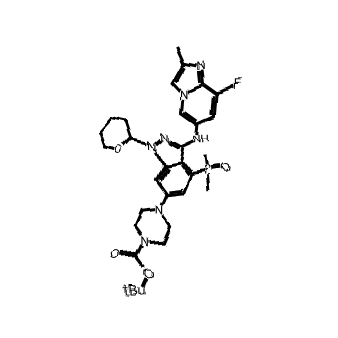 Cc1cn2cc(Nc3nn(C4CCCCO4)c4cc(N5CCN(C(=O)OC(C)(C)C)CC5)cc(P(C)(C)=O)c34)cc(F)c2n1